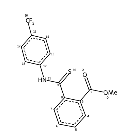 COC(=O)c1ccccc1C(=S)Nc1ccc(C(F)(F)F)cc1